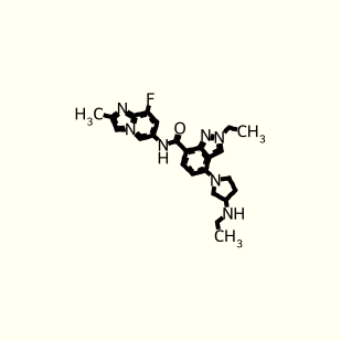 CCNC1CCN(c2ccc(C(=O)Nc3cc(F)c4nc(C)cn4c3)c3nn(CC)cc23)C1